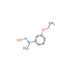 CCOc1cccc(/C(C)=N/O)c1